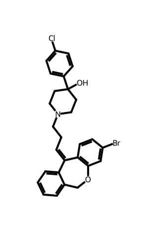 OC1(c2ccc(Cl)cc2)CCN(CCC=C2c3ccccc3COc3cc(Br)ccc32)CC1